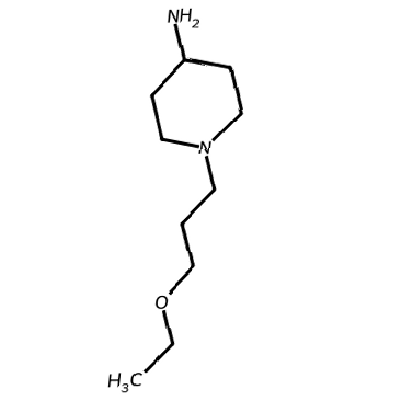 CCOCCCN1CCC(N)CC1